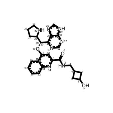 O=C(NCC1CC(O)C1)c1cc(O[C@@H](c2ncnc3[nH]cnc23)C2CCCN2)c2ccccc2n1